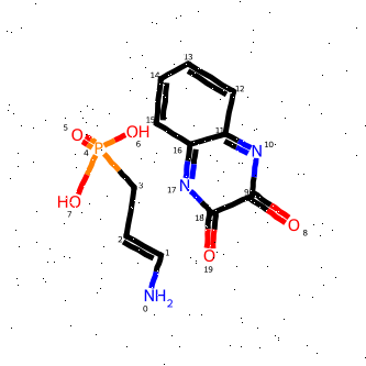 NC=CCP(=O)(O)O.O=C1N=c2ccccc2=NC1=O